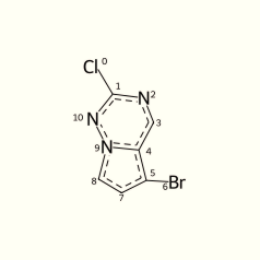 Clc1ncc2c(Br)ccn2n1